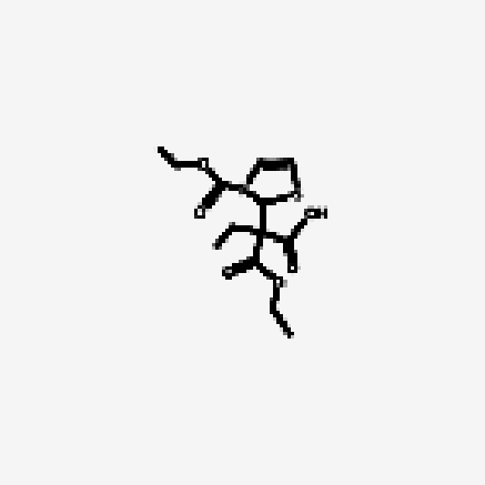 CCOC(=O)N1C=CSC1C(CC)(C(=O)O)C(=O)OCC